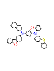 c1ccc2c(c1)Oc1cc(N(c3ccc4ccccc4c3)c3ccc4oc5ccccc5c4c3)ccc1N2c1ccc2c(c1)sc1ccccc12